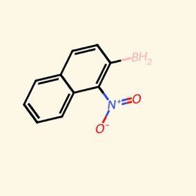 Bc1ccc2ccccc2c1[N+](=O)[O-]